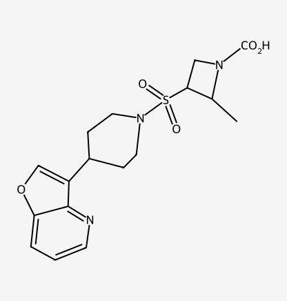 CC1C(S(=O)(=O)N2CCC(c3coc4cccnc34)CC2)CN1C(=O)O